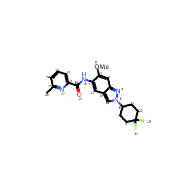 COc1cc2nn(C3CCC(F)(F)CC3)cc2cc1NC(=O)c1cccc(C)n1